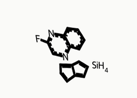 C1=CC2=CC=CC2=C1.Fc1cnc2ccccc2n1.[SiH4]